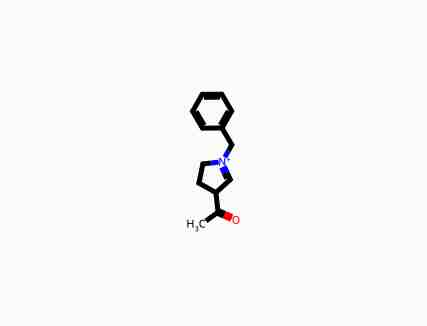 CC(=O)C1C=[N+](Cc2ccccc2)CC1